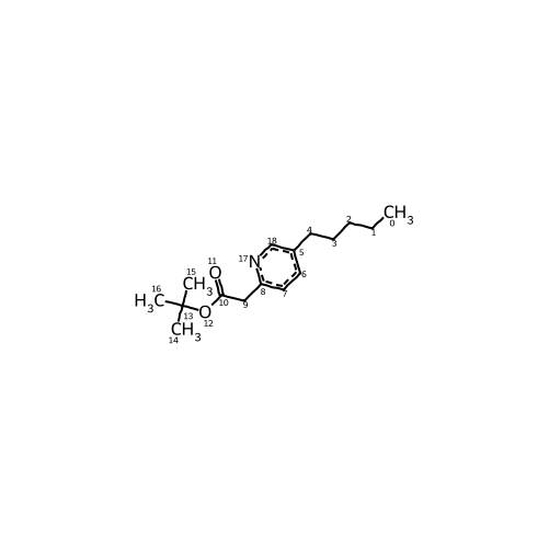 CCCCCc1ccc(CC(=O)OC(C)(C)C)nc1